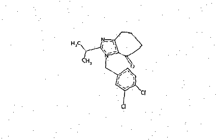 CC(C)c1nc2c(n1Cc1ccc(Cl)c(Cl)c1)C(=O)CCC2